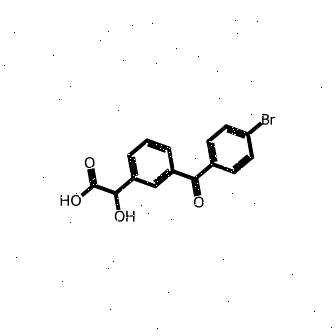 O=C(c1ccc(Br)cc1)c1cccc(C(O)C(=O)O)c1